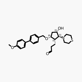 COc1ccc(-c2ccc(CO[C@@H]3C[C@H](O)[C@@H](N4CCSCC4)[C@@H]3CCC=O)cc2)cc1